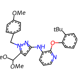 COc1ccc(Cn2nc(Nc3cccnc3Oc3ccccc3C(C)(C)C)cc2C(OC)OC)cc1